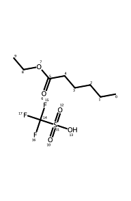 CCCCCC(=O)OCC.O=S(=O)(O)C(F)(F)F